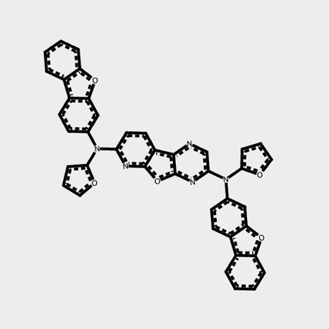 c1coc(N(c2ccc3c(c2)oc2ccccc23)c2ccc3c(n2)oc2nc(N(c4ccc5c(c4)oc4ccccc45)c4ccco4)cnc23)c1